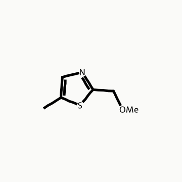 COCc1ncc(C)s1